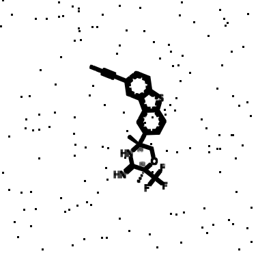 CC#Cc1ccc2sc3ccc([C@]4(C)CO[C@@](C)(C(F)(F)F)C(=N)N4)cc3c2c1